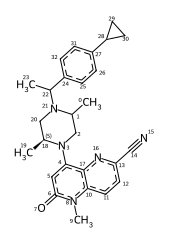 CC1CN(c2cc(=O)n(C)c3ccc(C#N)nc23)[C@@H](C)CN1C(C)c1ccc(C2CC2)cc1